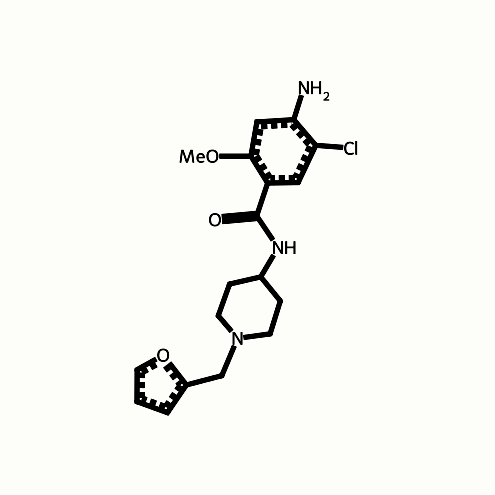 COc1cc(N)c(Cl)cc1C(=O)NC1CCN(Cc2ccco2)CC1